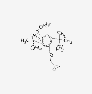 COc1cc(C(C)(C)C)c(OCC2CO2)cc1C(C)(C)C